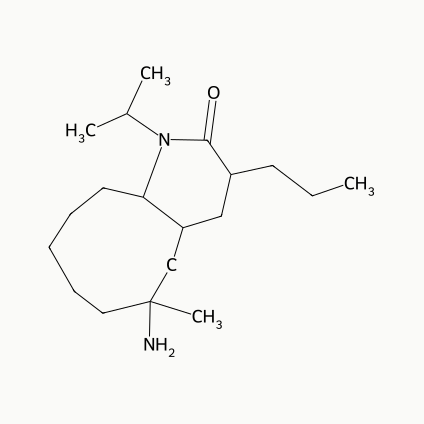 CCCC1CC2CC(C)(N)CCCCCC2N(C(C)C)C1=O